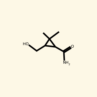 CC1(C)C(CO)C1C(N)=O